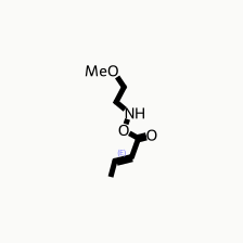 C/C=C/C(=O)ONCCOC